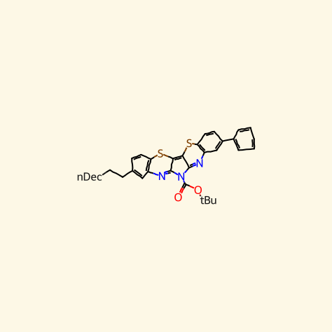 CCCCCCCCCCCCc1ccc2c(c1)N=c1c(c3c(n1C(=O)OC(C)(C)C)=Nc1cc(-c4ccccc4)ccc1S3)S2